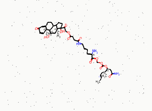 C/C=C/C[C@@H](C)[C@H](CC(N)=O)OC(=O)OCOC(=O)[C@H](N)CCCCNC(=O)CCC(=O)OCC(=O)[C@@]1(O)CCC2C3CCC4=CC(=O)C=C[C@]4(C)C3[C@@H](O)C[C@@]21C